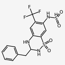 O=[SH](=O)Nc1cc2c(cc1C(F)(F)F)NC(Cc1ccccc1)NS2(=O)=O